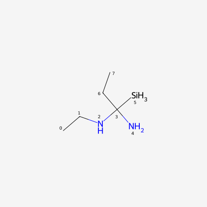 CCNC(N)([SiH3])CC